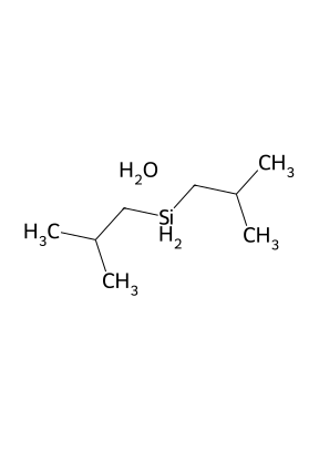 CC(C)C[SiH2]CC(C)C.O